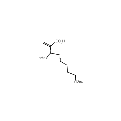 C=C(C(=O)O)C(CCCCCC)CCCCCCCCCCCCCCC